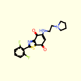 O=C1C(NCCN2CCCC2)=CC(=O)c2sc(-c3c(F)cccc3F)nc21